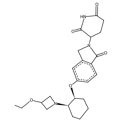 CCOC1CN([C@@H]2CCCC[C@@H]2Oc2ccc3c(c2)CN(C2CCC(=O)NC2=O)C3=O)C1